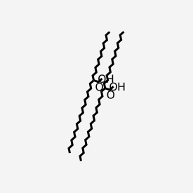 CCCCCCCCCCCCCCCCCCC(CCCCCCCCCCCC)C(=O)O.CCCCCCCCCCCCCCCCCCC(CCCCCCCCCCCCCC)C(=O)O